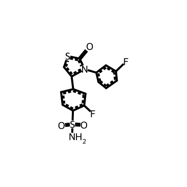 NS(=O)(=O)c1ccc(-c2csc(=O)n2-c2cccc(F)c2)cc1F